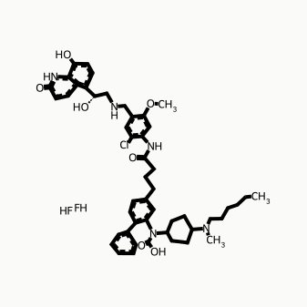 CCCCCCN(C)C1CCC(N(C(=O)O)c2cc(CCCC(=O)Nc3cc(OC)c(CNC[C@H](O)c4ccc(O)c5[nH]c(=O)ccc45)cc3Cl)ccc2-c2ccccc2)CC1.F.F